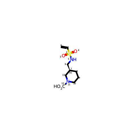 C=CS(=O)(=O)NC[C@H]1CCCN(C(=O)O)C1